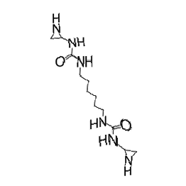 O=C(NCCCCCCNC(=O)NC1CN1)NC1CN1